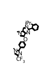 CC(C)c1ccccc1-c1ncc2c(n1)c(Oc1ccc(-c3nc(C(F)(F)F)cn3C)cc1)cn2C